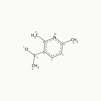 Cc1ccc([S+](C)[O-])c(C)n1